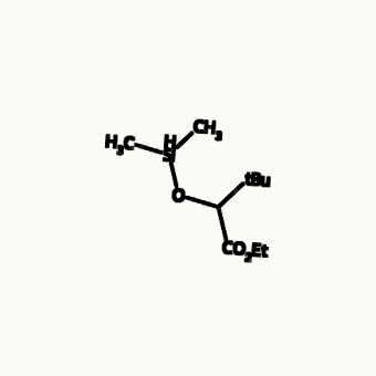 CCOC(=O)C(O[SiH](C)C)C(C)(C)C